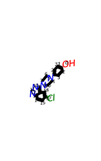 Oc1ccc(N2CCN(c3ncnc4ccc(Cl)cc34)CC2)cc1